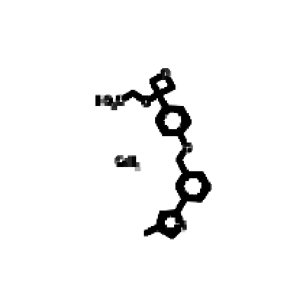 Cc1csc(-c2cccc(COc3ccc(C4(OCC(=O)O)COC4)cc3)c2)c1.[CaH2]